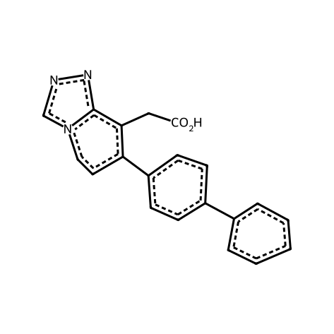 O=C(O)Cc1c(-c2ccc(-c3ccccc3)cc2)ccn2cnnc12